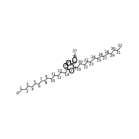 CCCCCCCCCCCCCCCC(=O)OC(CCCCCCCCCCCCCC)C(=O)OCC